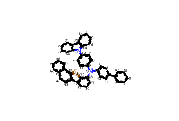 c1ccc(-c2ccc(N(c3ccc(-n4c5ccccc5c5ccccc54)cc3)c3cccc4c3sc3c5ccccc5ccc43)cc2)cc1